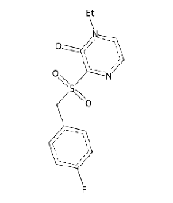 CCn1ccnc(S(=O)(=O)Cc2ccc(F)cc2)c1=O